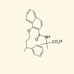 CC(CCOc1c(C(=O)NC(C)(C)C(=O)O)ccc2ccccc12)c1ccccc1